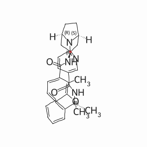 COc1cccc(C(=O)N[C@H]2C[C@H]3CC[C@@H](C2)N3c2ccc(C(=O)N[C@H](C)c3ccccc3)cn2)c1C